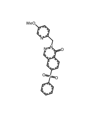 COc1ccc(Cn2ncc3cc(S(=O)(=O)c4ccccc4)ccc3c2=O)nc1